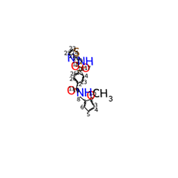 COc1ccccc1CNC(=O)c1ccc(S(=O)(=O)Nc2nccs2)cc1